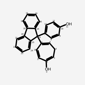 OC1=CCC=C(C2(c3ccc(O)cc3)c3ccccc3-c3ccccc32)C=C1